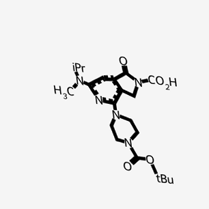 CC(C)N(C)c1cc2c(c(N3CCN(C(=O)OC(C)(C)C)CC3)n1)CN(C(=O)O)C2=O